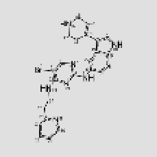 Brc1cnc(Nc2ccc3[nH]cc(C4=CCNCC4)c3c2)nc1NCCc1ccccn1